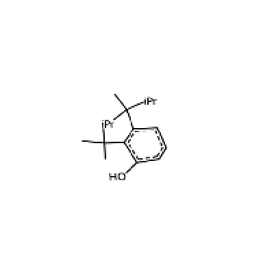 CC(C)C(C)(C)c1cccc(O)c1C(C)(C)C(C)C